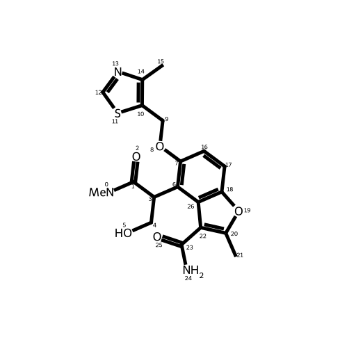 CNC(=O)C(CO)c1c(OCc2scnc2C)ccc2oc(C)c(C(N)=O)c12